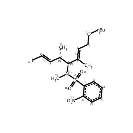 CCCCOC/C=C(\C)[C@H]([C@@H](C)/C=C/I)N(C)S(=O)(=O)c1ccccc1[N+](=O)[O-]